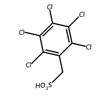 O=S(=O)(O)Cc1c(Cl)c(Cl)c(Cl)c(Cl)c1Cl